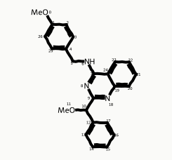 COc1ccc(CNc2nc(C(OC)c3ccccc3)nc3ccccc23)cc1